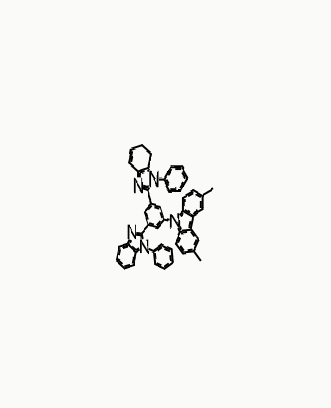 Cc1ccc2c(c1)c1cc(C)ccc1n2-c1cc(-c2nc3c(n2-c2ccccc2)CCC=C3)cc(-c2nc3ccccc3n2-c2ccccc2)c1